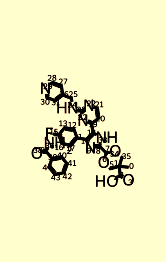 CC1(C(=O)O)COC(c2nc(-c3ccc(F)cc3)c(-c3ccnc(NCc4ccncc4)n3)[nH]2)OC1.NC(=O)c1ccccc1